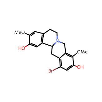 COc1cc2c(cc1O)C1Cc3c(Br)cc(O)c(OC)c3CN1CC2